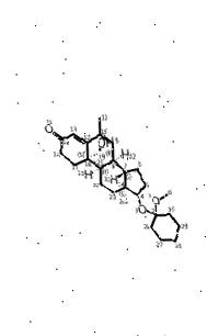 COC1(OC2CC[C@H]3[C@@H]4CC(C)C5=CC(=O)CC[C@]5(CO)[C@@H]4CC[C@]23C)CCCCC1